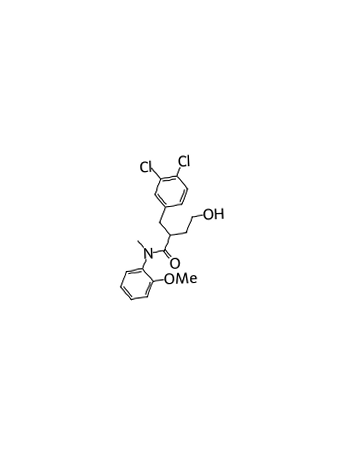 COc1ccccc1N(C)C(=O)C(CCO)Cc1ccc(Cl)c(Cl)c1